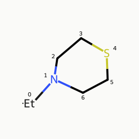 C[CH]N1CCSCC1